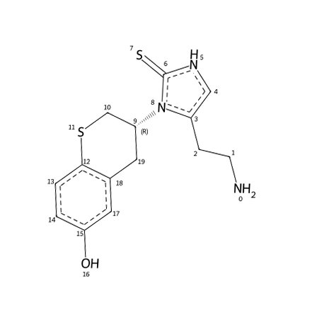 NCCc1c[nH]c(=S)n1[C@H]1CSc2ccc(O)cc2C1